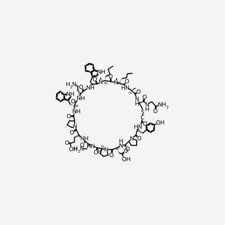 CCCC[C@@H]1C(=O)N(C)[C@H](CCCC)C(=O)N[C@@H](C)C(=O)N[C@@H](C(=O)NCC(N)=O)CSCC(=O)N[C@@H](Cc2ccc(O)cc2)C(=O)N2CCCC2C(=O)N[C@H](CC(=O)O)C(=O)N2CCC[C@H]2C(=O)N[C@H](CN)C(=O)N[C@@H](CCC(=O)O)C(=O)N2CCCC2C(=O)N[C@H](Cc2c[nH]c3ccccc23)C(=O)N[C@@H](CCN)C(=O)N[C@@H](Cc2c[nH]c3ccccc23)C(=O)N1C